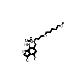 COCCCCCOCCCN1Cc2cc(Cl)c3c(Cl)c[nH]c3c2NS1(=O)=O